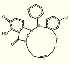 O=C1c2c(O)c(=O)ccn2N2CN1CC/C=C\CCOc1cc(Cl)ccc1[C@@H]2c1ccccc1